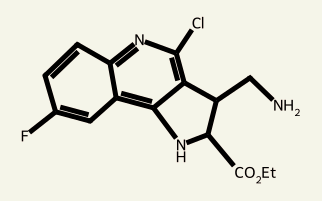 CCOC(=O)C1Nc2c(c(Cl)nc3ccc(F)cc23)C1CN